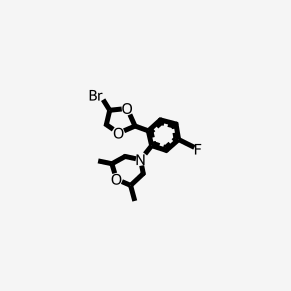 CC1CN(c2cc(F)ccc2C2OCC(Br)O2)CC(C)O1